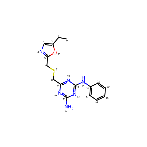 CCc1cnc(CSCc2nc(N)nc(Nc3ccccc3)n2)o1